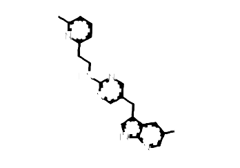 Cc1cccc(CCNc2ncc(Cc3c[nH]c4ncc(Cl)cc34)cn2)n1